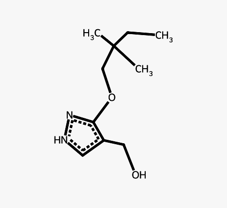 CCC(C)(C)COc1n[nH]cc1CO